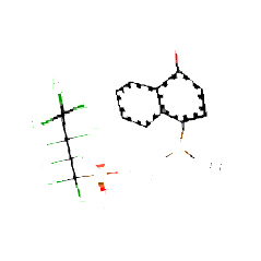 C[S+](C)c1ccc(O)c2ccccc12.O=S(=O)([O-])C(F)(F)C(F)(F)C(F)(F)C(F)(F)F